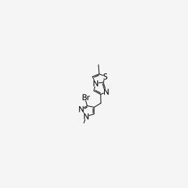 Cc1cn2cc(Cc3cn(C)nc3Br)nc2s1